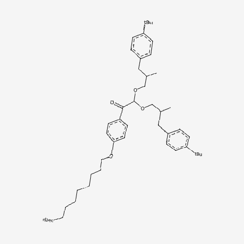 CCCCCCCCCCCCCCCCCCOc1ccc(C(=O)C(OCC(C)Cc2ccc(C(C)(C)C)cc2)OCC(C)Cc2ccc(C(C)(C)C)cc2)cc1